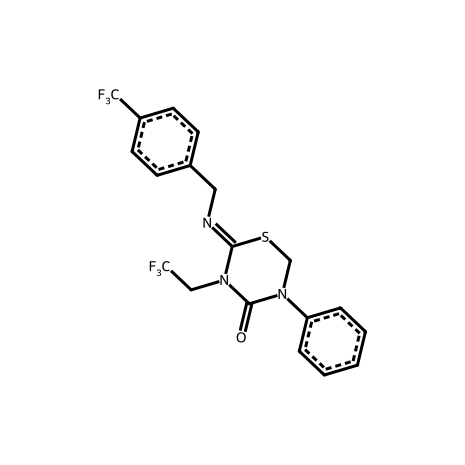 O=C1N(CC(F)(F)F)C(=NCc2ccc(C(F)(F)F)cc2)SCN1c1ccccc1